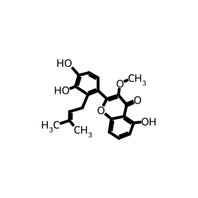 COc1c(-c2ccc(O)c(O)c2CC=C(C)C)oc2cccc(O)c2c1=O